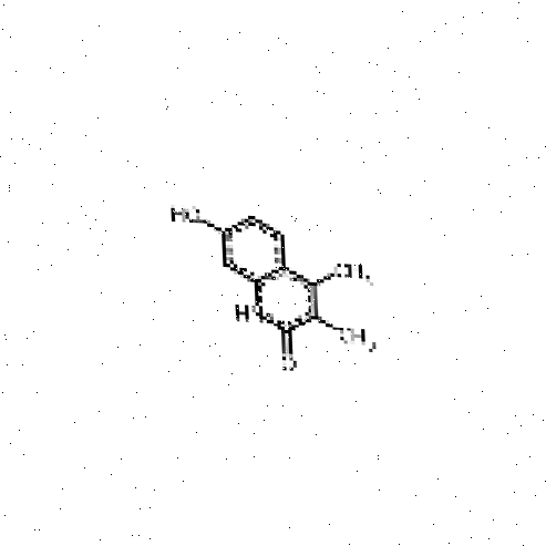 Cc1c(C)c2ccc(O)cc2[nH]c1=O